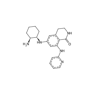 N[C@H]1CCCC[C@H]1Nc1cc2c(c(Nc3ccccn3)c1)C(=O)NCC2